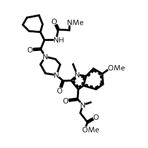 CNCC(=O)NC(C(=O)N1CCN(C(=O)c2c(C(=O)N(C)CC(=O)OC)c3ccc(OC)cc3n2C)CC1)C1CCCCC1